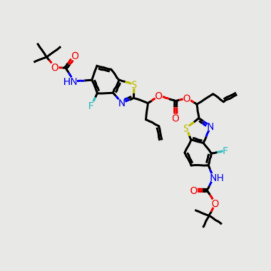 C=CCC(OC(=O)OC(CC=C)c1nc2c(F)c(NC(=O)OC(C)(C)C)ccc2s1)c1nc2c(F)c(NC(=O)OC(C)(C)C)ccc2s1